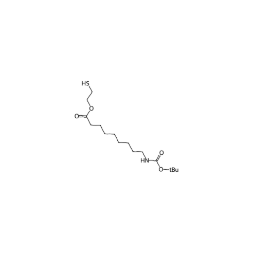 CC(C)(C)OC(=O)NCCCCCCCCC(=O)OCCS